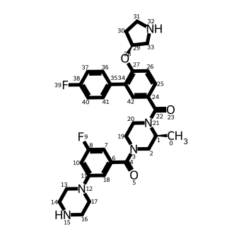 C[C@H]1CN(C(=O)c2cc(F)cc(N3CCNCC3)c2)CCN1C(=O)c1ccc(O[C@H]2CCNC2)c(-c2ccc(F)cc2)c1